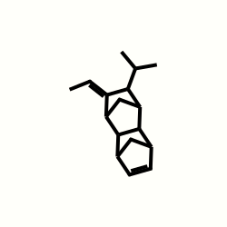 CC=C1C2CC(C1C(C)C)C1C3C=CC(C3)C21